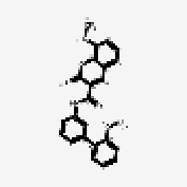 O=C(Nc1cccc(-c2ccccc2OC(F)(F)F)c1)c1cc2cccc(OC(F)(F)F)c2oc1=O